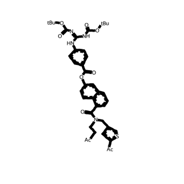 CC(=O)CCN(Cc1csc(C(C)=O)c1)C(=O)c1cccc2cc(OC(=O)c3ccc(N/C(=N\C(=O)OC(C)(C)C)NC(=O)OC(C)(C)C)cc3)ccc12